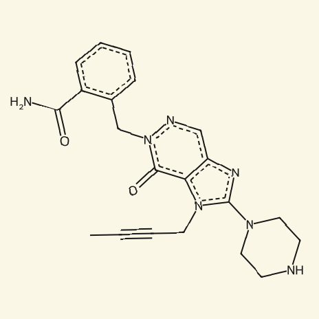 CC#CCn1c(N2CCNCC2)nc2cnn(Cc3ccccc3C(N)=O)c(=O)c21